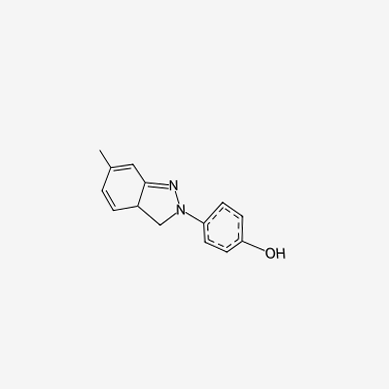 CC1=CC2=NN(c3ccc(O)cc3)CC2C=C1